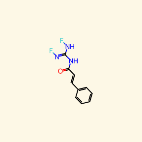 O=C(C=Cc1ccccc1)NC(=NF)NF